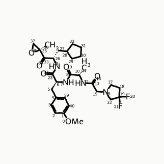 COc1ccc(C[C@H](NC(=O)[C@H](C)NC(=O)CN2CCC(F)(F)C2)C(=O)N[C@@H](CC2CCCC2)C(=O)[C@]2(C)CO2)cc1